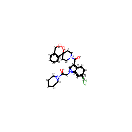 O=C(Cn1cc(C(=O)N2CCC3(CC2)OOCc2ccccc23)c2ccc(Cl)cc21)N1CCCCC1